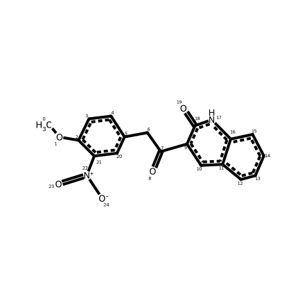 COc1ccc(CC(=O)c2cc3ccccc3[nH]c2=O)cc1[N+](=O)[O-]